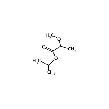 COC(C)C(=O)OC(C)C